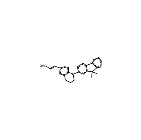 CC1(C)c2ccccc2-c2ccc(N3CCCc4cc(/C=C/C=O)ccc43)cc21